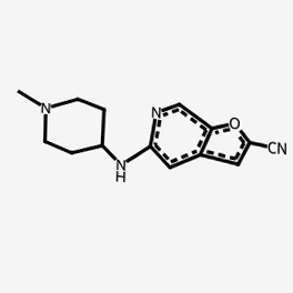 CN1CCC(Nc2cc3cc(C#N)oc3cn2)CC1